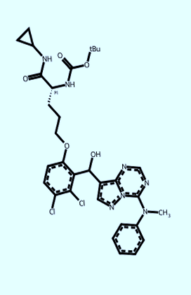 CN(c1ccccc1)c1ncnc2c(C(O)c3c(OCCC[C@@H](NC(=O)OC(C)(C)C)C(=O)NC4CC4)ccc(Cl)c3Cl)cnn12